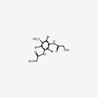 CC(=O)OCC(=O)Nc1c(Br)c(NC(=O)COC(C)=O)c(Br)c(C(=O)O)c1Br